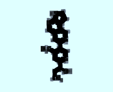 CC[C@@H](O)c1cc(C)c(-c2cc3cnc4[nH]ccc4c3cn2)cn1